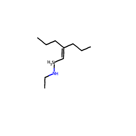 CCCC(=C[SiH2]NCC)CCC